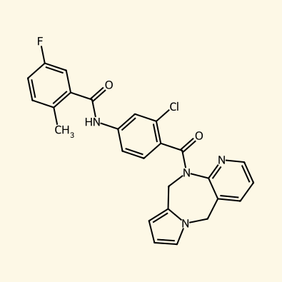 Cc1ccc(F)cc1C(=O)Nc1ccc(C(=O)N2Cc3cccn3Cc3cccnc32)c(Cl)c1